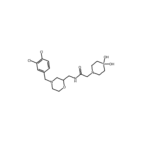 O=C(CN1CCS(O)(O)CC1)NCC1CN(Cc2ccc(Cl)c(Cl)c2)CCO1